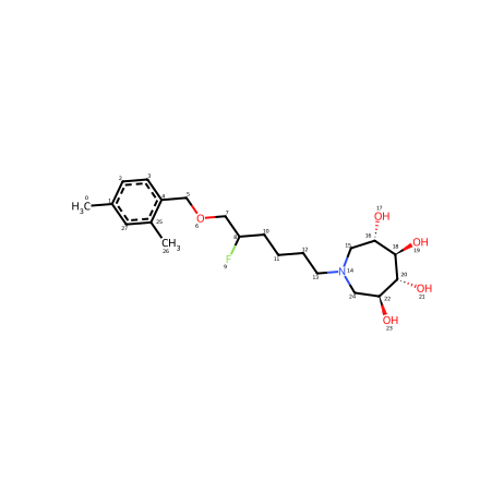 Cc1ccc(COCC(F)CCCCN2C[C@H](O)[C@@H](O)[C@H](O)[C@@H](O)C2)c(C)c1